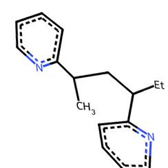 CCC(CC(C)c1ccccn1)c1ccccn1